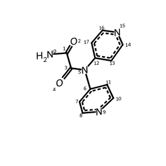 NC(=O)C(=O)N(c1ccncc1)c1ccncc1